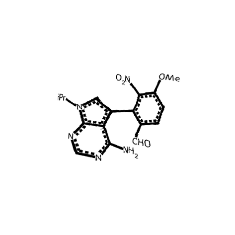 COc1ccc(C=O)c(-c2cn(C(C)C)c3ncnc(N)c23)c1[N+](=O)[O-]